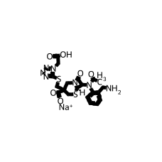 CC(=O)N(c1ccccc1CN)C1C(=O)N2CC(CSc3nnnn3CC(=O)O)(C(=O)[O-])CS[C@H]12.[Na+]